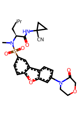 CC(C)C[C@@H](C(=O)NC1(C#N)CC1)N(C)S(=O)(=O)c1ccc2oc3cc(N4CCOCC4=O)ccc3c2c1